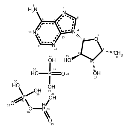 C[C@H]1O[C@@H](n2cnc3c(N)ncnc32)[C@H](O)[C@H]1O.O=P(O)(O)O.O=[PH](O)OP(=O)(O)O